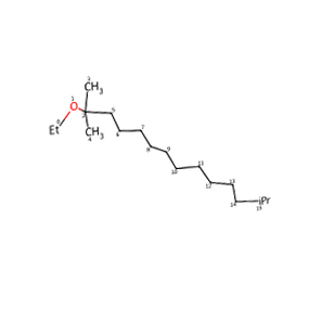 CCOC(C)(C)CCCCCCCCCCC(C)C